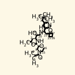 C=CC[C@H](NC(=O)[C@H]1CN(C(=O)C(C)C)CCO1)[C@H](O)CN[C@H]1CC2(CCC2)Oc2ncc(CC(C)(C)C)cc21